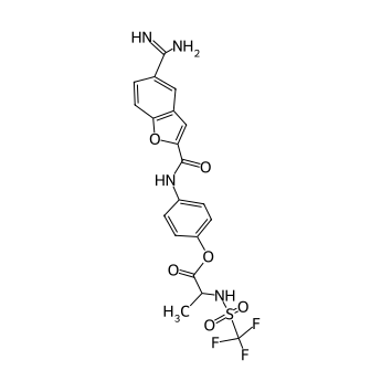 CC(NS(=O)(=O)C(F)(F)F)C(=O)Oc1ccc(NC(=O)c2cc3cc(C(=N)N)ccc3o2)cc1